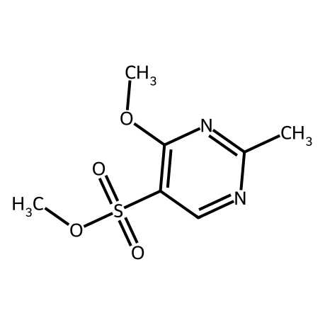 COc1nc(C)ncc1S(=O)(=O)OC